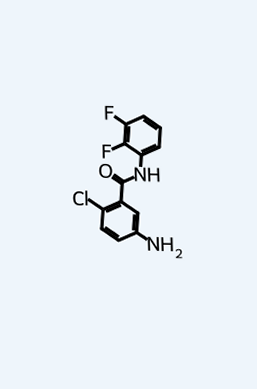 Nc1ccc(Cl)c(C(=O)Nc2cccc(F)c2F)c1